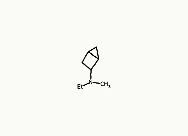 CCN(C)C1CC2CC21